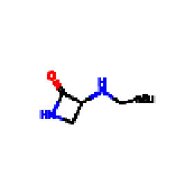 CCCCCN[C@H]1CNC1=O